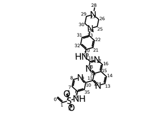 C=CS(=O)(=O)Nc1ccnc(-c2nccc3cnc(Nc4ccc(N5CCN(C)CC5)cc4)nc23)c1